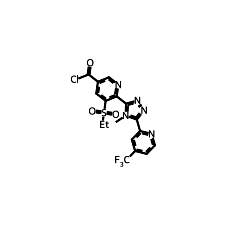 CCS(=O)(=O)c1cc(C(=O)Cl)cnc1-c1nnc(-c2cc(C(F)(F)F)ccn2)n1C